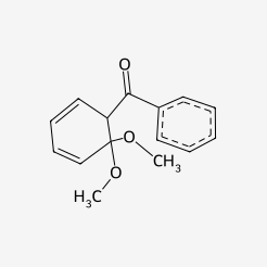 COC1(OC)C=CC=CC1C(=O)c1ccccc1